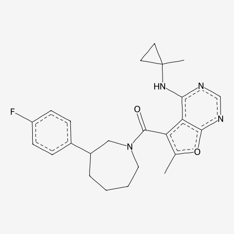 Cc1oc2ncnc(NC3(C)CC3)c2c1C(=O)N1CCCCC(c2ccc(F)cc2)C1